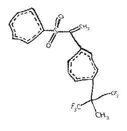 C=C(c1ccc(C(C)(C(F)(F)F)C(F)(F)F)cc1)S(=O)(=O)c1ccccc1